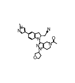 CC(=O)N1CCc2c(c(N3c4ccc(-c5cnn(C)c5)cc4C[C@H]3CC#N)nn2C2CCOC2)C1